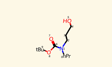 CCCN(CCCO)C(=O)OC(C)(C)C